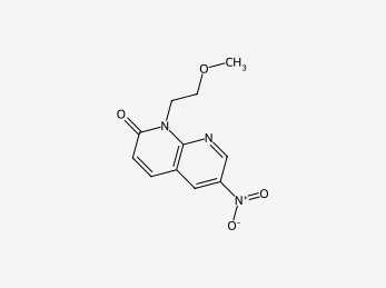 COCCn1c(=O)ccc2cc([N+](=O)[O-])cnc21